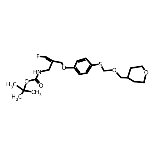 CC(C)(C)OC(=O)NC/C(=C\F)COc1ccc(SCOCC2CCOCC2)cc1